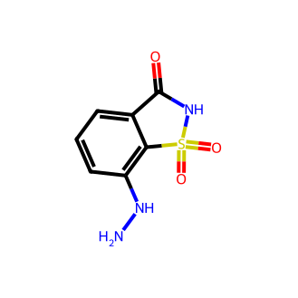 NNc1cccc2c1S(=O)(=O)NC2=O